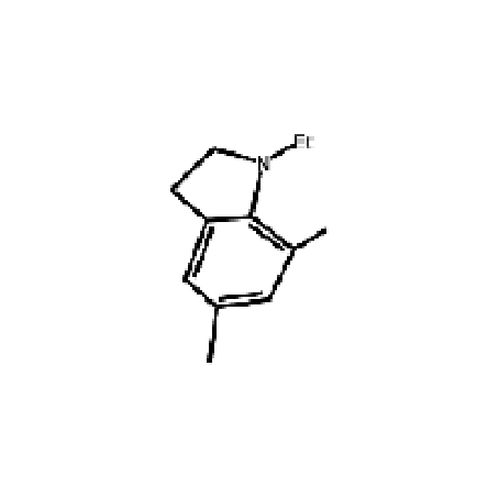 CCN1CCc2cc(C)cc(C)c21